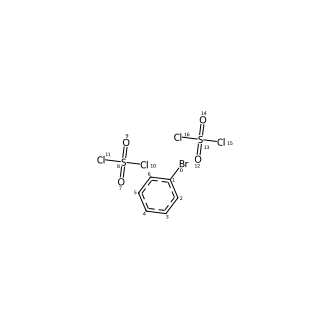 Brc1ccccc1.O=S(=O)(Cl)Cl.O=S(=O)(Cl)Cl